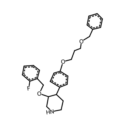 Fc1ccccc1COC1CNCCC1c1ccc(OCCCOCc2ccccc2)cc1